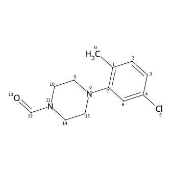 Cc1ccc(Cl)cc1N1CCN(C=O)CC1